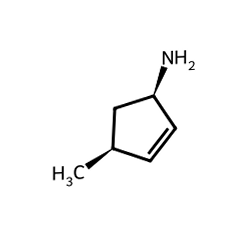 C[C@@H]1C=C[C@H](N)C1